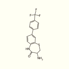 NC1CSc2cc(-c3ccc(C(F)(F)F)cc3)ccc2NC1=O